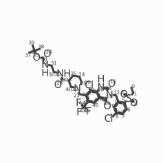 CCS(=O)(=O)c1ccc(Cl)cc1Cn1c(=O)[nH]c2c(Cl)c(CN3CCC[C@@H](C(=O)NCCNC(=O)OC(C)(C)C)C3)c(C(F)(F)F)cc2c1=O